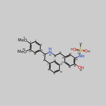 COc1ccc(C(Cc2ccccc2)NCCc2ccc(O)c(NS(C)(=O)=O)c2)cc1OC